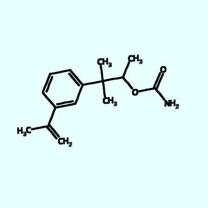 C=C(C)c1cccc(C(C)(C)C(C)OC(N)=O)c1